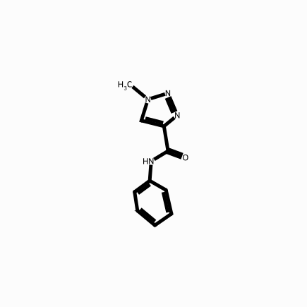 Cn1cc(C(=O)Nc2c[c]ccc2)nn1